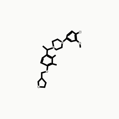 COc1cc(N2CCN(C(C)c3ccc(OCC4CCOC4)c(C)c3C)CC2)ccc1Cl